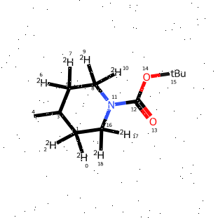 [2H]C1([2H])C(C)C([2H])([2H])C([2H])([2H])N(C(=O)OC(C)(C)C)C1([2H])[2H]